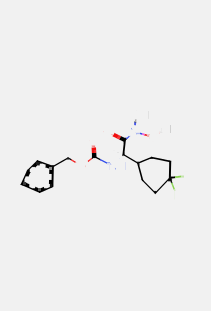 CON(C)C(=O)[C@@H](NC(=O)OCc1ccccc1)C1CCC(F)(F)CC1